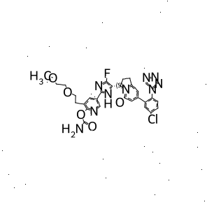 COCCOCCc1cc(-c2nc(F)c([C@@H]3CCc4cc(-c5cc(Cl)ccc5-n5cnnn5)cc(=O)n43)[nH]2)cnc1OC(N)=O